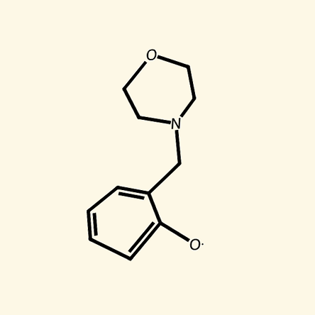 [O]c1ccccc1CN1CCOCC1